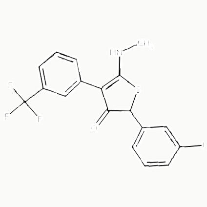 CNC1=C(c2cccc(C(F)(F)F)c2)C(=O)C(c2cccc(I)c2)S1